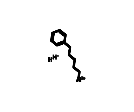 [Al+2][CH2]CCCCc1ccccc1.[H-].[H-]